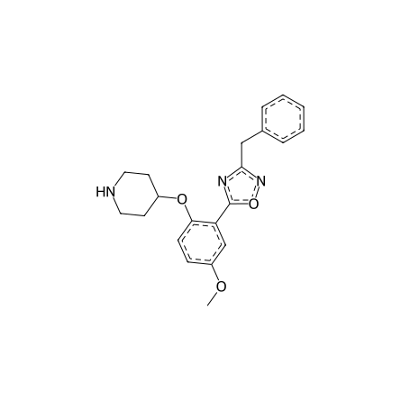 COc1ccc(OC2CCNCC2)c(-c2nc(Cc3ccccc3)no2)c1